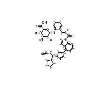 CN(Cc1ccccc1O[C@@H]1O[C@H](C(=O)O)[C@@H](O)[C@H](O)[C@H]1O)C(=O)n1ccc2c(-c3cnn(C(CC#N)C4CCCC4)c3)ncnc21